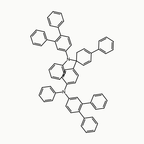 C1=CC(c2ccc(N(c3ccccc3)c3ccc(-c4ccccc4)c(-c4ccccc4)c3)cc2)(N(c2ccccc2)c2ccc(-c3ccccc3)c(-c3ccccc3)c2)CC=C1c1ccccc1